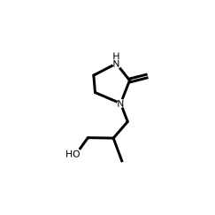 C=C1NCCN1CC(C)CO